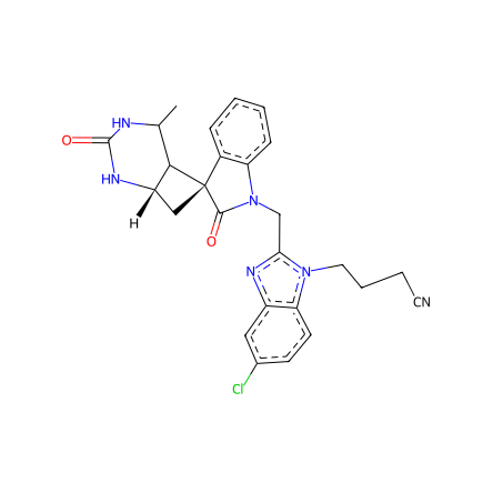 CC1NC(=O)N[C@H]2C[C@@]3(C(=O)N(Cc4nc5cc(Cl)ccc5n4CCCC#N)c4ccccc43)C12